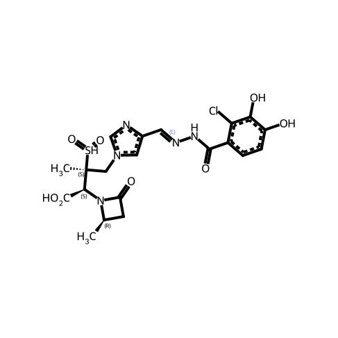 C[C@@H]1CC(=O)N1[C@@H](C(=O)O)[C@](C)(Cn1cnc(/C=N/NC(=O)c2ccc(O)c(O)c2Cl)c1)[SH](=O)=O